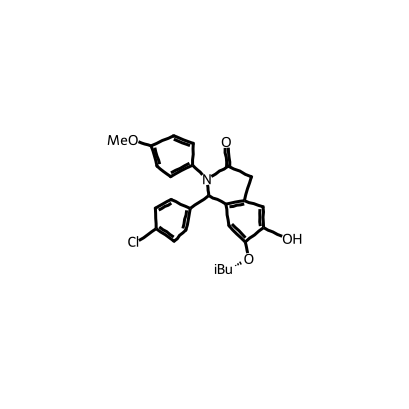 CC[C@@H](C)Oc1cc2c(cc1O)CC(=O)N(c1ccc(OC)cc1)C2c1ccc(Cl)cc1